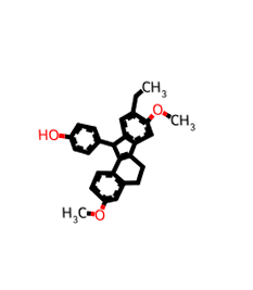 CCc1cc2c(cc1OC)C1=C(c3ccc(OC)cc3CC1)C2c1ccc(O)cc1